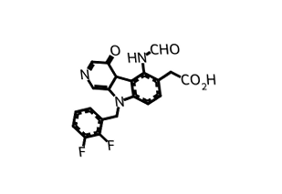 O=CNc1c(CC(=O)O)ccc2c1C1C(=O)C=NC=C1N2Cc1cccc(F)c1F